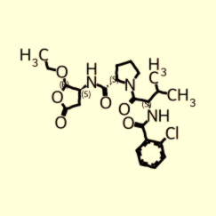 CCO[C@@H]1OC(=O)C[C@@H]1NC(=O)[C@@H]1CCCN1C(=O)[C@@H](NC(=O)c1ccccc1Cl)C(C)C